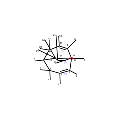 C/C1=C(\C)C(C)(C)C2(C)C(C)(I)/C(C)=C(/C)C1(C)/C(C)=C(\C)C2(C)C